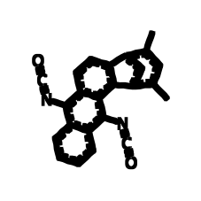 Cc1cc(C)c2cc1-c1ccc3c(N=C=O)c4ccccc4c(N=C=O)c3c1-2